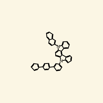 c1ccc(-c2ccc(-c3cccc(-n4c5ccccc5c5c6c7ccccc7n(-c7ccc8ccccc8c7)c6ccc54)c3)cc2)cc1